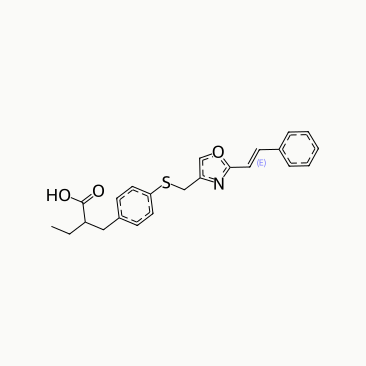 CCC(Cc1ccc(SCc2coc(/C=C/c3ccccc3)n2)cc1)C(=O)O